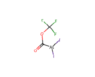 O=C(OC(F)(F)F)[As](I)I